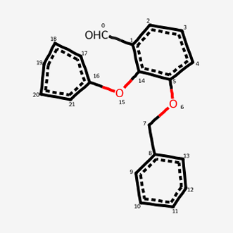 O=Cc1cccc(OCc2ccccc2)c1Oc1ccccc1